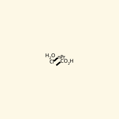 CC(=O)O.CCCCl.O